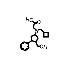 O=C(O)CN(CC1CCC1)C1CC(CO)C(c2ccccc2)C1